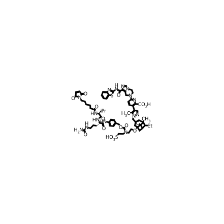 CCC1C2CC3(OCCN(CCS(=O)(=O)O)C(=O)OCc4ccc(NC(=O)[C@H](CCCNC(N)=O)NC(=O)[C@@H](NC(=O)CCCCCN5C(=O)C=CC5=O)C(C)C)cc4)CC4(Cn5ncc(-c6ccc(N7CCn8cnc(C(=O)Nc9nc%10ccccc%10s9)c8C7)nc6C(=O)O)c5C)CC1(C)C23C4